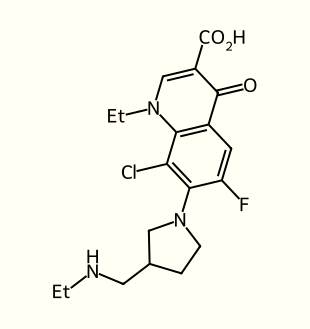 CCNCC1CCN(c2c(F)cc3c(=O)c(C(=O)O)cn(CC)c3c2Cl)C1